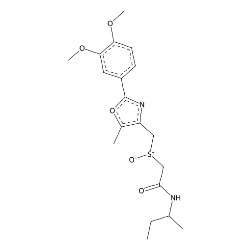 CCC(C)NC(=O)C[S+]([O-])Cc1nc(-c2ccc(OC)c(OC)c2)oc1C